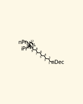 CCCCCCCCCCCCCCCCCCC[n+]1ccn(CCC)c1C(C)C